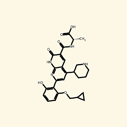 C[C@H](NC(=O)c1cc2c(C3CCCNC3)cc(-c3c(O)cccc3OCC3CC3)nc2[nH]c1=O)C(=O)O